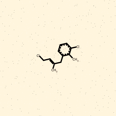 CC(=CCCl)Cc1cccc(Cl)c1C